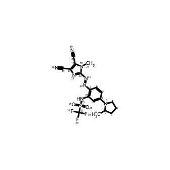 CC1CCCN1c1ccc(N=Nc2nc(C#N)c(C#N)n2C)c(NS(=O)(=O)C(F)(F)F)c1